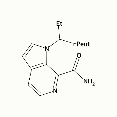 CCCCCC(CC)n1ccc2ccnc(C(N)=O)c21